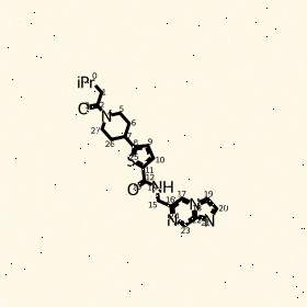 CC(C)CC(=O)N1CCC(c2ccc(C(=O)NCc3cn4ccnc4cn3)s2)CC1